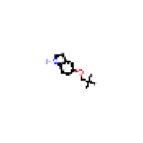 CC(C)(C)COc1ccc2[nH]ccc2c1